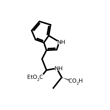 CCOC(=O)C(Cc1c[nH]c2ccccc12)N[C@@H](C)C(=O)O